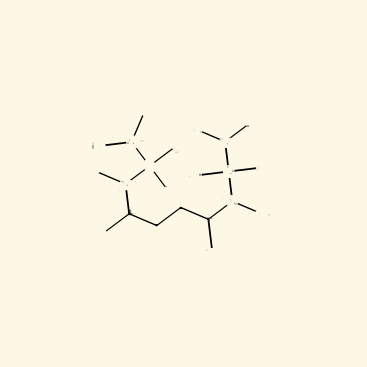 CC(C)N(C(C)(C)C)[Si](I)(I)N(C(C)CCC(C)N(C)S(C)(I)N(C)C(C)C)C(C)(C)C